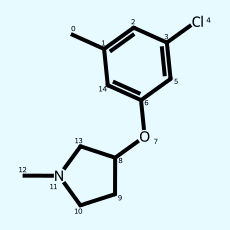 Cc1cc(Cl)cc(OC2CCN(C)C2)c1